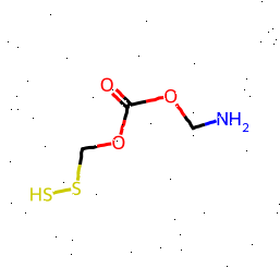 NCOC(=O)OCSS